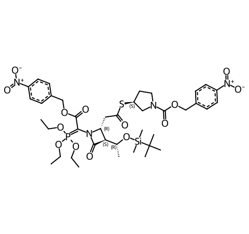 CCOP(OCC)(OCC)=C(C(=O)OCc1ccc([N+](=O)[O-])cc1)N1C(=O)[C@H]([C@@H](C)O[Si](C)(C)C(C)(C)C)[C@H]1CC(=O)S[C@H]1CCN(C(=O)OCc2ccc([N+](=O)[O-])cc2)C1